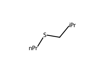 [CH2]C(C)CSCCC